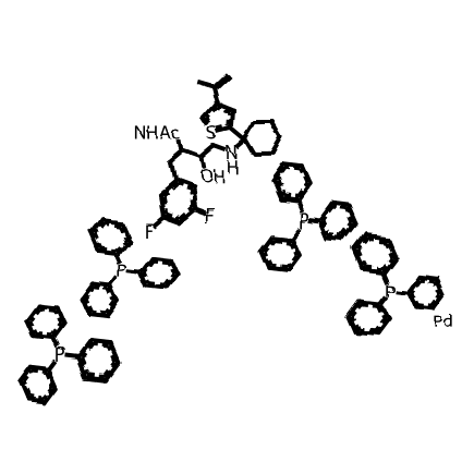 C=C(C)c1csc(C2(NCC(O)C(Cc3cc(F)cc(F)c3)NC(C)=O)CCCCC2)c1.[Pd].c1ccc(P(c2ccccc2)c2ccccc2)cc1.c1ccc(P(c2ccccc2)c2ccccc2)cc1.c1ccc(P(c2ccccc2)c2ccccc2)cc1.c1ccc(P(c2ccccc2)c2ccccc2)cc1